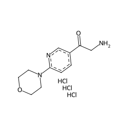 Cl.Cl.Cl.NCC(=O)c1ccc(N2CCOCC2)nc1